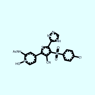 CC(=O)Nc1cc(-c2sc(-c3nnc[nH]3)c(S(=O)(=O)c3ccc(Cl)cc3)c2C#N)cc[n+]1O